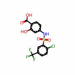 O=C(O)c1ccc(NS(=O)(=O)c2cc(C(F)(F)F)ccc2Cl)cc1O